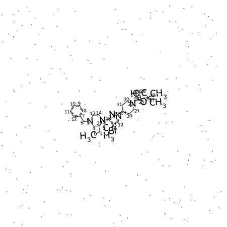 CC[C@@]1(C)CN(Cc2ccccc2)CCN1c1nn(C2CCN(C(=O)OC(C)(C)C)CC2)cc1Br